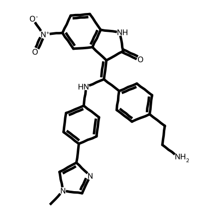 Cn1cnc(-c2ccc(NC(=C3C(=O)Nc4ccc([N+](=O)[O-])cc43)c3ccc(CCN)cc3)cc2)c1